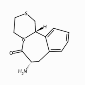 N[C@H]1Cc2ccccc2[C@H]2CSCCN2C1=O